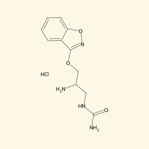 Cl.NC(=O)NCC(N)COc1noc2ccccc12